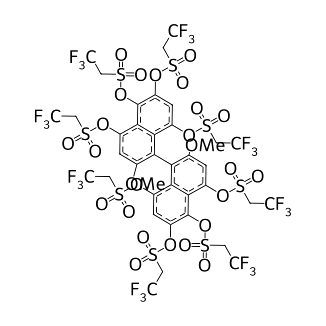 COc1cc(OS(=O)(=O)CC(F)(F)F)c2c(OS(=O)(=O)CC(F)(F)F)c(OS(=O)(=O)CC(F)(F)F)cc(OS(=O)(=O)CC(F)(F)F)c2c1-c1c(OC)cc(OS(=O)(=O)CC(F)(F)F)c2c(OS(=O)(=O)CC(F)(F)F)c(OS(=O)(=O)CC(F)(F)F)cc(OS(=O)(=O)CC(F)(F)F)c12